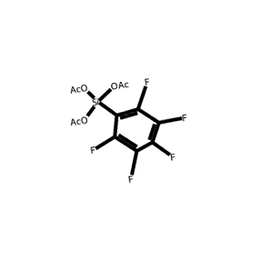 CC(=O)O[Si](OC(C)=O)(OC(C)=O)c1c(F)c(F)c(F)c(F)c1F